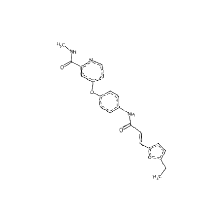 CCc1ccc(/C=C/C(=O)Nc2ccc(Oc3ccnc(C(=O)NC)c3)cc2)o1